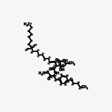 CCCCCCCC(F)(F)CCCCCC/C=C/[C@H](C(=O)NC(Cc1ccc(OCCCC)cc1)C(=O)OC)[C@@](O)(CCC)C(=O)O